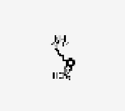 CN(CCCCCc1cccc2c1CN(C(=O)O)C2)C(N)=O